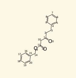 O=C(CCc1ccccc1)CC(=O)OCc1ccccc1